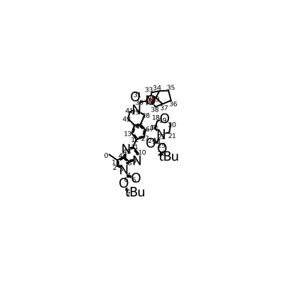 Cc1cn(C(=O)OC(C)(C)C)c2ncc(-c3cc4c(c([C@@H]5COCCN5C(=O)OC(C)(C)C)c3)CN(C(=O)N3CC5CCC(C3)C5=O)CC4)nc12